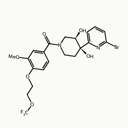 COc1cc(C(=O)N2CC[C@@](O)(c3cccc(Br)n3)[C@H](O)C2)ccc1OCCOC(F)(F)F